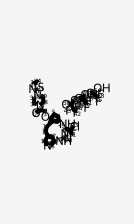 O=C(COc1ccc2cc1CCc1cncc(c1)Nc1ncc(Cl)c(n1)N2)N1CCN(c2nccs2)CC1.O=C(O)C(F)(F)F.O=C(O)C(F)(F)F.O=C(O)C(F)(F)F